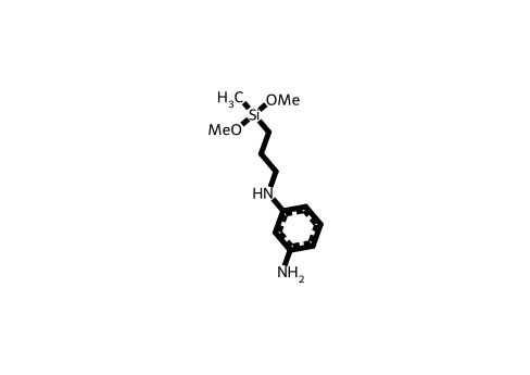 CO[Si](C)(CCCNc1cccc(N)c1)OC